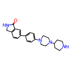 O=C1NCc2ccc(-c3ccc(N4CCN(C5CCNCC5)CC4)cc3)cc21